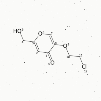 O=c1cc(CO)occ1OCCCl